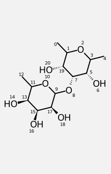 CC1OC(C)[C@H](O)[C@H](OC2OC(C)[C@H](O)[C@H](O)[C@@H]2O)[C@@H]1O